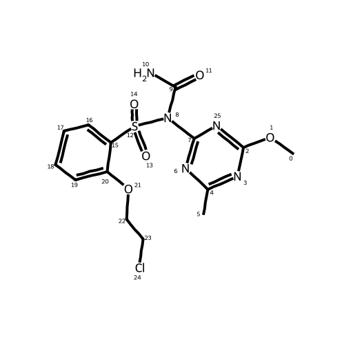 COc1nc(C)nc(N(C(N)=O)S(=O)(=O)c2ccccc2OCCCl)n1